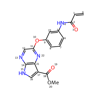 C=CC(=O)Nc1cccc(Oc2cnc3[nH]cc(C(=O)OC)c3n2)c1